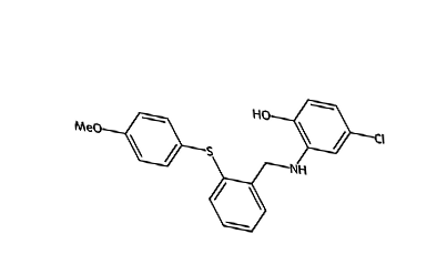 COc1ccc(Sc2ccccc2CNc2cc(Cl)ccc2O)cc1